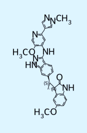 COc1ccc2c(c1)[C@]1(C[C@H]1c1ccc3c(Nc4cc(-c5cnn(C)c5)ncc4OC)n[nH]c3c1)C(=O)N2